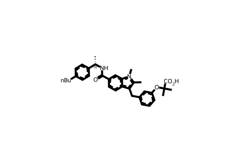 CCCCc1ccc([C@H](C)NC(=O)c2ccc3c(Cc4cccc(OC(C)(C)C(=O)O)c4)c(C)n(C)c3c2)cc1